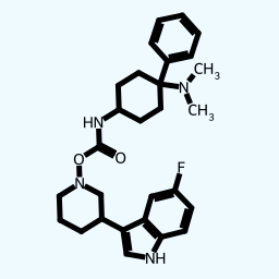 CN(C)C1(c2ccccc2)CCC(NC(=O)ON2CCCC(c3c[nH]c4ccc(F)cc34)C2)CC1